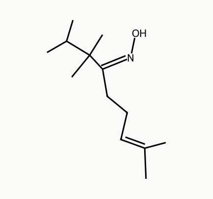 CC(C)=CCCC(=NO)C(C)(C)C(C)C